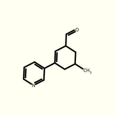 CC1CC(c2cccnc2)=CC(C=O)C1